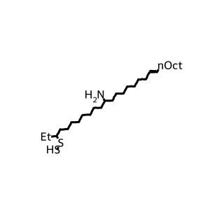 CCCCCCCCC=CCCCCCCCC(N)CCCCCCCCC(CC)SS